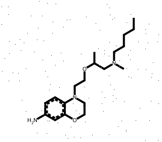 CCCCCN(C)CC(C)OCCN1CCOc2cc(N)ccc21